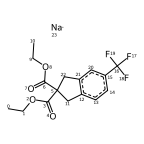 CCOC(=O)C1(C(=O)OCC)Cc2ccc(C(F)(F)F)cc2C1.[Na]